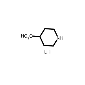 O=C(O)C1CCNCC1.[LiH]